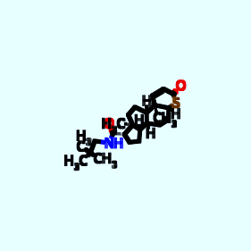 CC(C)(C)CNC(=O)[C@H]1CC[C@H]2[C@@H]3CC[C@H]4SC(=O)C=C[C@]4(C)[C@H]3CC[C@]12C